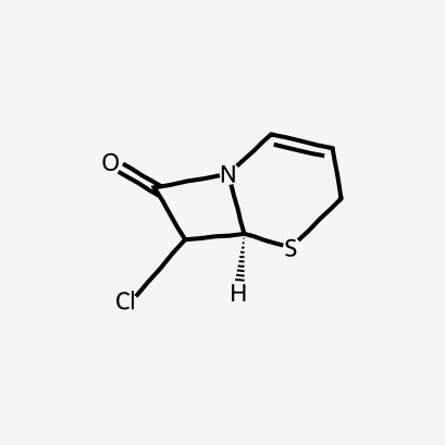 O=C1C(Cl)[C@@H]2SCC=CN12